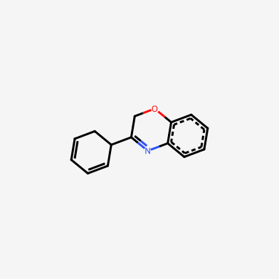 C1=CCC(C2=Nc3ccccc3OC2)C=C1